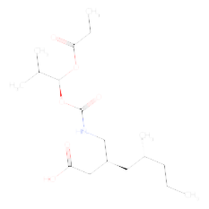 CCC[C@@H](C)C[C@H](CNC(=O)O[C@H](OC(=O)CC)C(C)C)CC(=O)O